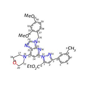 CCOC(=O)c1cc(-c2cccc(C)c2)nn1-c1cc(N2CCOCC2)c2ncn(Cc3ccc(OC)cc3OC)c2n1